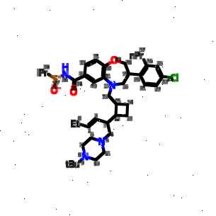 CC/C=C/C(CN1CCN(C(C)(C)C)CC1)C1CCC1CN1CC(c2ccc(Cl)cc2CCC)COc2ccc(C(=O)N[S+]([O-])C(C)C)cc21